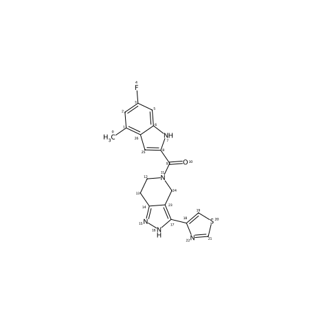 Cc1cc(F)cc2[nH]c(C(=O)N3CCc4n[nH]c(-c5cscn5)c4C3)cc12